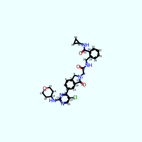 O=C(CN1Cc2ccc(-c3nc(NC4CCOCC4)ncc3Cl)cc2C1=O)NCc1ccccc1C(=O)NC1CC1